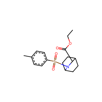 CCOC(=O)C1C2CCC(CC2)N1S(=O)(=O)c1ccc(C)cc1